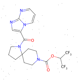 O=C(OC(C(F)(F)F)C(F)(F)F)N1CCC2(CCCN2C(=O)c2cnc3ncccn23)CC1